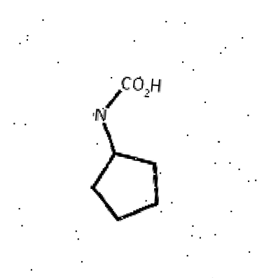 O=C(O)[N]C1CCCC1